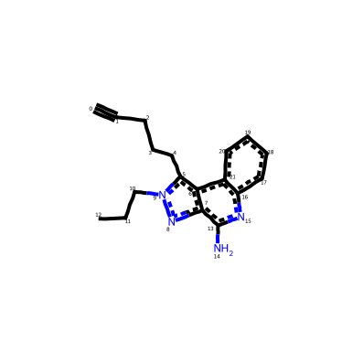 C#CCCCc1c2c(nn1CCC)c(N)nc1ccccc12